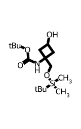 CC(C)(C)OC(=O)NC1(CO[Si](C)(C)C(C)(C)C)CC(O)C1